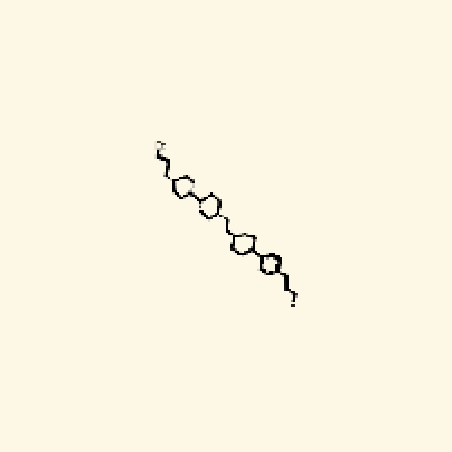 CC/C=C/C[C@H]1CC[C@H]([C@H]2CC[C@H](CCC3CCC(c4ccc(CCCF)cc4)CC3)CC2)CC1